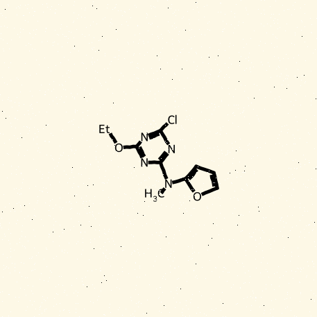 CCOc1nc(Cl)nc(N(C)c2ccco2)n1